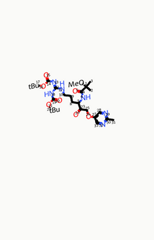 COC(C)(C)C(=O)NC(CCCNC(=NC(=O)OC(C)(C)C)NC(=O)OC(C)(C)C)C(=O)COc1cnc(C)nc1